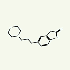 O=C1Cc2cc(CCCN3CCOCC3)ccc2N1